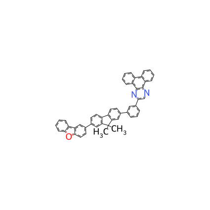 CC1(C)c2cc(-c3cccc(-c4cnc5c6ccccc6c6ccccc6c5n4)c3)ccc2-c2ccc(-c3ccc4oc5ccccc5c4c3)cc21